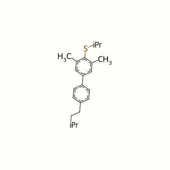 Cc1cc(-c2ccc(CCC(C)C)cc2)cc(C)c1SC(C)C